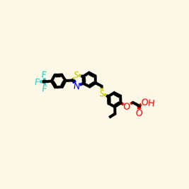 CCc1cc(SCc2ccc3sc(-c4ccc(C(F)(F)F)cc4)nc3c2)ccc1OCC(=O)O